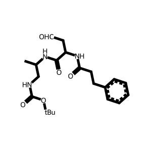 CC(CNC(=O)OC(C)(C)C)NC(=O)C(CC=O)NC(=O)CCc1ccccc1